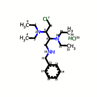 CCN(CC)C(CCl)C(CNCc1ccccc1)N(CC)CC.Cl